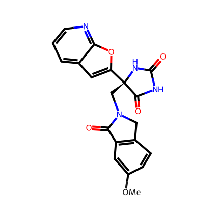 COc1ccc2c(c1)C(=O)N(C[C@@]1(c3cc4cccnc4o3)NC(=O)NC1=O)C2